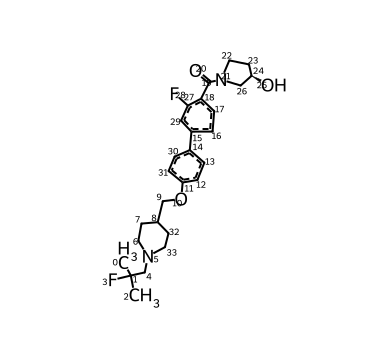 CC(C)(F)CN1CCC(COc2ccc(-c3ccc(C(=O)N4CC[C@@H](O)C4)c(F)c3)cc2)CC1